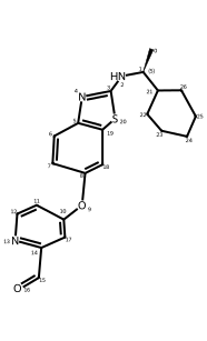 C[C@H](Nc1nc2ccc(Oc3ccnc(C=O)c3)cc2s1)C1CCCCC1